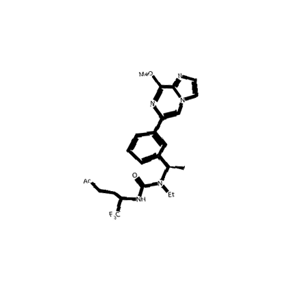 CCN(C(=O)NC(CCC(C)=O)C(F)(F)F)[C@H](C)c1cccc(-c2cn3ccnc3c(OC)n2)c1